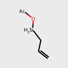 C=CC[SiH2]OC(C)=O